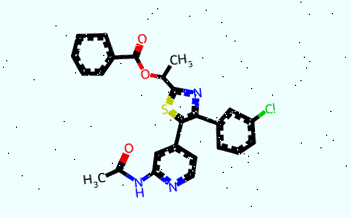 CC(=O)Nc1cc(-c2sc(C(C)OC(=O)c3ccccc3)nc2-c2cccc(Cl)c2)ccn1